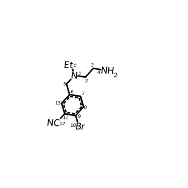 CCN(CCN)Cc1ccc(Br)c(C#N)c1